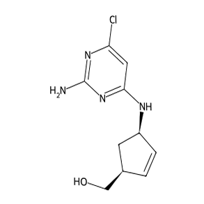 Nc1nc(Cl)cc(N[C@H]2C=C[C@@H](CO)C2)n1